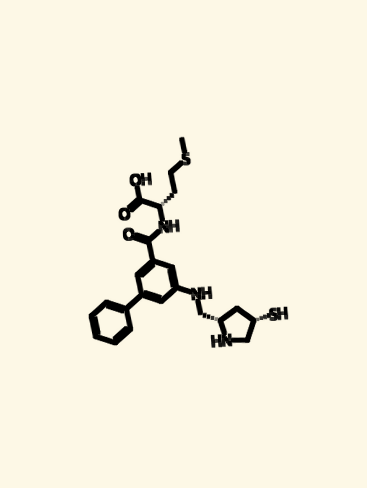 CSCC[C@H](NC(=O)c1cc(NC[C@@H]2C[C@H](S)CN2)cc(-c2ccccc2)c1)C(=O)O